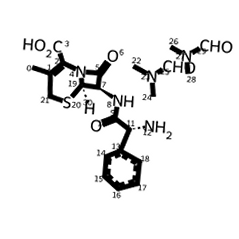 CC1=C(C(=O)O)N2C(=O)[C@@H](NC(=O)[C@H](N)c3ccccc3)[C@H]2SC1.CN(C)C=O.CN(C)C=O